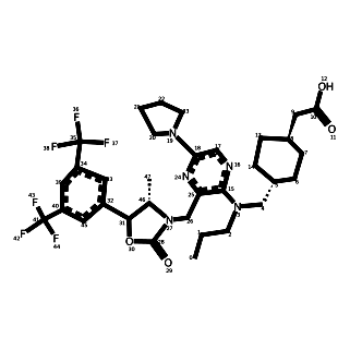 CCCN(C[C@H]1CC[C@H](CC(=O)O)CC1)c1ncc(N2CCCC2)nc1CN1C(=O)OC(c2cc(C(F)(F)F)cc(C(F)(F)F)c2)[C@@H]1C